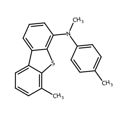 Cc1ccc(N(C)c2cccc3c2sc2c(C)cccc23)cc1